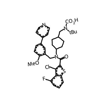 COc1ccc(-c2ccncc2)cc1CN(C(=O)c1sc2cccc(F)c2c1Cl)C1CCC(CN(C(=O)O)C(C)(C)C)CC1